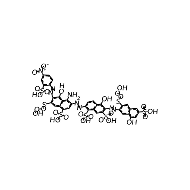 Nc1c(N=Nc2ccc3c(O)c(N=Nc4cc5c(O)cc(S(=O)(=O)O)cc5cc4SOOO)c(S(=O)(=O)O)cc3c2S(=O)(=O)O)cc(S(=O)(=O)O)c2cc(SOOO)c(N=Nc3ccc([N+](=O)[O-])cc3S(=O)(=O)O)c(O)c12